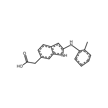 Cc1ccccc1Nc1cc2ccc(CC(=O)O)cc2[nH]1